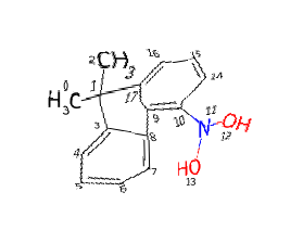 CC1(C)c2ccccc2-c2c(N(O)O)cccc21